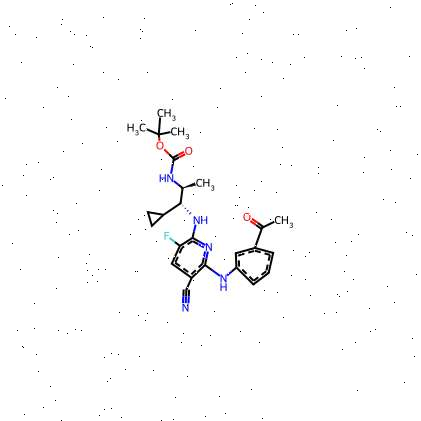 CC(=O)c1cccc(Nc2nc(N[C@H](C3CC3)[C@H](C)NC(=O)OC(C)(C)C)c(F)cc2C#N)c1